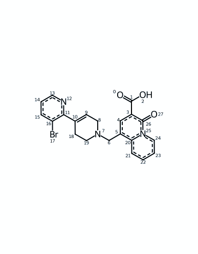 O=C(O)c1cc(CN2CC=C(c3ncccc3Br)CC2)c2ccccn2c1=O